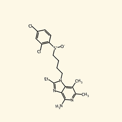 CCc1nc2c(N)nc(C)c(C)c2n1CCCC[S+]([O-])c1ccc(Cl)cc1Cl